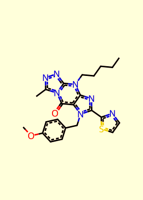 CCCCCn1c2nc(-c3nccs3)n(Cc3ccc(OC)cc3)c2c(=O)n2c(C)nnc12